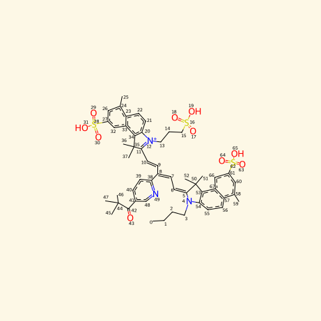 CCCCN1/C(=C/C=C(/C=C/C2=[N+](CCCS(=O)(=O)O)c3ccc4c(C)cc(S(=O)(=O)O)cc4c3C2(C)C)c2ccc(C(=O)C(C)(C)C)cn2)C(C)(C)c2c1ccc1c(C)cc(S(=O)(=O)O)cc21